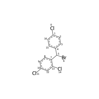 Clc1ccc(C(Br)c2ccc(Cl)cc2Cl)cc1